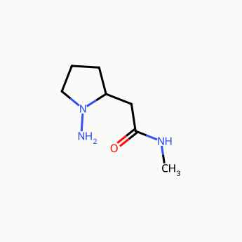 CNC(=O)CC1CCCN1N